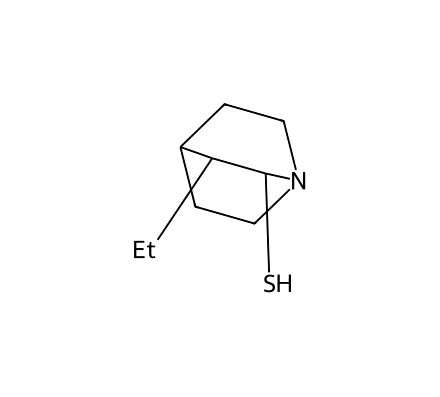 CCC1C2CCN(CC2)C1S